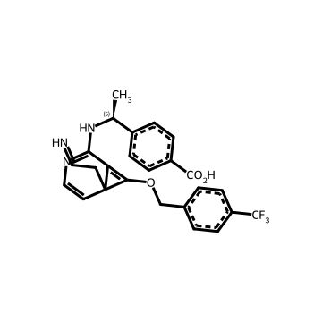 C[C@H](NC1=NC=CC2(CC=N)C(OCc3ccc(C(F)(F)F)cc3)=C12)c1ccc(C(=O)O)cc1